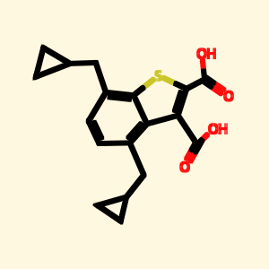 O=C(O)c1sc2c(CC3CC3)ccc(CC3CC3)c2c1C(=O)O